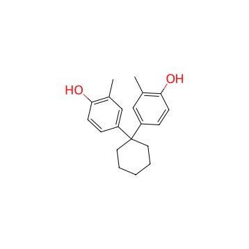 Cc1cc(C2(c3ccc(O)c(C)c3)CCCCC2)ccc1O